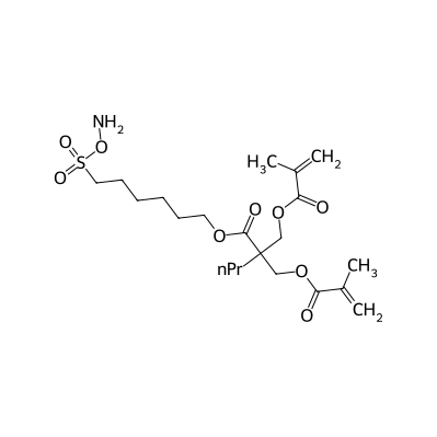 C=C(C)C(=O)OCC(CCC)(COC(=O)C(=C)C)C(=O)OCCCCCCS(=O)(=O)ON